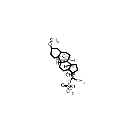 CC(OS(=O)(=O)C(F)(F)F)[C@H]1CC[C@H]2[C@@H]3CCC4CC(O[SiH3])CC[C@]4(C)[C@H]3CC[C@]12C